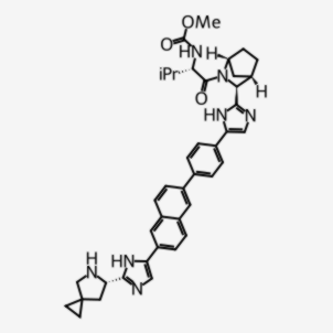 COC(=O)N[C@H](C(=O)N1[C@@H]2CC[C@@H](C2)[C@H]1c1ncc(-c2ccc(-c3ccc4cc(-c5cnc([C@@H]6CC7(CC7)CN6)[nH]5)ccc4c3)cc2)[nH]1)C(C)C